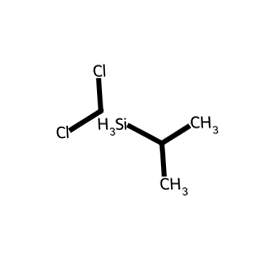 CC(C)[SiH3].ClCCl